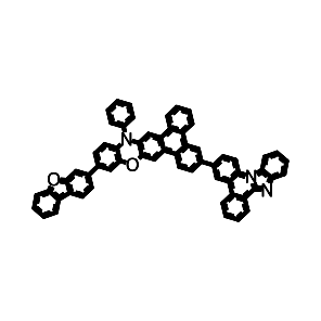 c1ccc(N2c3ccc(-c4ccc5c(c4)oc4ccccc45)cc3Oc3cc4c5ccc(-c6ccc7c(c6)c6ccccc6c6nc8ccccc8n76)cc5c5ccccc5c4cc32)cc1